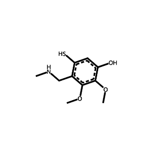 CNCc1c(S)cc(O)c(OC)c1OC